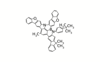 Cc1cc2c3c4c1c1cc5c(cc1n4-c1cc4c(cc1B3N(c1ccc(C(C)(C)C)cc1)c1cc3c(cc1-2)-c1ccccc1C3(C)C)oc1ccccc14)oc1ccccc15